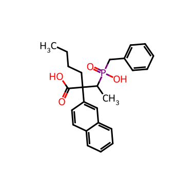 CCCCC(C(=O)O)(c1ccc2ccccc2c1)C(C)P(=O)(O)Cc1ccccc1